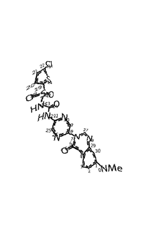 CNc1ccc2c(=O)n(-c3cnc(NC(=O)NS(=O)(=O)c4ccc(Cl)s4)cn3)cnc2c1